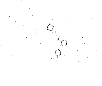 COc1ccc(Oc2nccnc2C(=O)N/N=C/c2cc(OC)cc(OC)c2)cc1